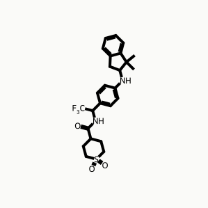 CC1(C)c2ccccc2CC1Nc1ccc(C(NC(=O)C2CCS(=O)(=O)CC2)C(F)(F)F)cc1